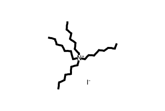 CCCCCCCC[N+](CCCCCCC)(CCCCCCC)CCCCCCC.[I-]